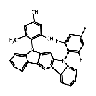 N#Cc1cc(C#N)c(-n2c3ccccc3c3cc4c5ccccc5n(-c5c(F)cc(F)cc5F)c4cc32)c(C(F)(F)F)c1